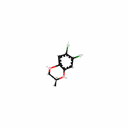 [CH2][C@H]1COc2cc(Cl)c(Cl)cc2O1